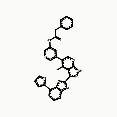 O=C(Cc1ccccc1)Nc1cncc(-c2cnc3[nH]nc(-c4nc5c(-c6cccs6)nccc5[nH]4)c3c2F)c1